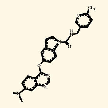 CN(C)c1ccc2c(Oc3ccc4c(ccn4C(=O)NCc4ccc(C(F)(F)F)nc4)c3)ncnc2c1